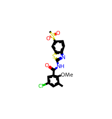 COc1c(C)cc(Cl)cc1C(=O)Nc1nc2ccc(S(C)(=O)=O)cc2s1